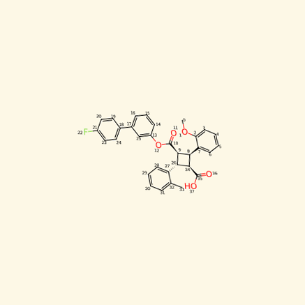 COc1ccccc1[C@@H]1[C@H](C(=O)Oc2cccc(-c3ccc(F)cc3)c2)[C@@H](c2ccccc2C)[C@@H]1C(=O)O